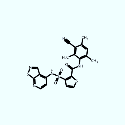 Cc1cc(C)c(NC(=O)c2sccc2S(=O)(=O)Nc2ccnc3sncc23)c(C)c1C#N